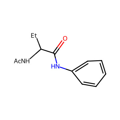 CCC(NC(C)=O)C(=O)Nc1ccccc1